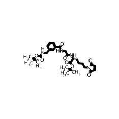 CC(C)(C)OC(=O)NCc1cccc(C(=O)NCC(=O)N[C@@H](CCCCN2C(=O)C=CC2=O)C(=O)OC(C)(C)C)c1